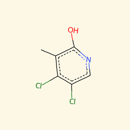 Cc1c(O)ncc(Cl)c1Cl